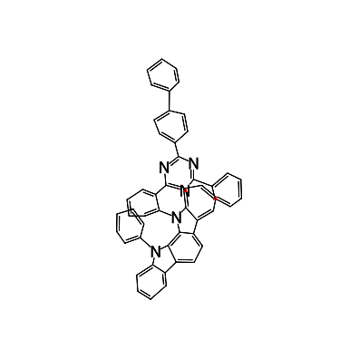 c1ccc(-c2ccc(-c3nc(-c4ccccc4)nc(-c4ccccc4-n4c5ccccc5c5ccc6c7ccccc7n(-c7ccccc7)c6c54)n3)cc2)cc1